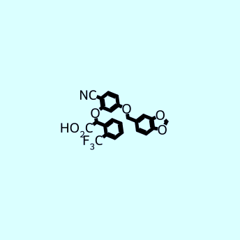 N#Cc1ccc(OCc2ccc3c(c2)OCO3)cc1OC(C(=O)O)c1ccccc1C(F)(F)F